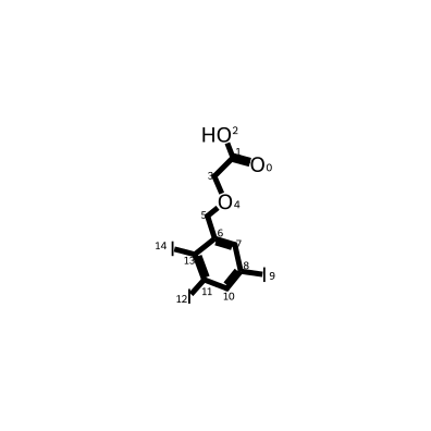 O=C(O)COCc1cc(I)cc(I)c1I